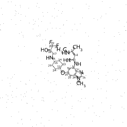 CN/C(C)=C\C(=N)Nc1cc(O[C@H]2CC[C@@H](NC[C@@H](O)C(F)F)CC2)cc2c1ncn2C